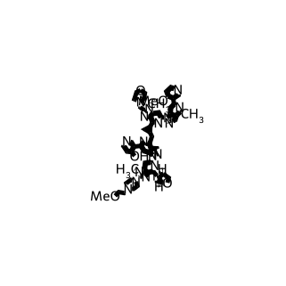 COCCN1CCN(c2nc3c(N4C[C@H]5C[C@@H]4CO5)nc(-n4ncc5c(CC6CC6c6nc(-n7ncc8c(C)nc(-c9cnccc9OC)cc87)cc7c6nc(CN6CCOCC6)n7C)nc(-c6cnccc6O)cc54)cc3n2C)CC1